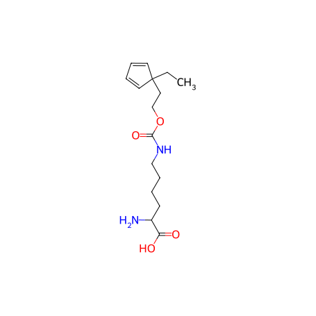 CCC1(CCOC(=O)NCCCCC(N)C(=O)O)C=CC=C1